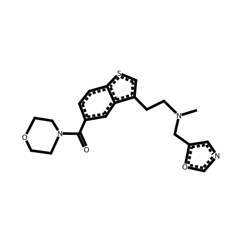 CN(CCc1csc2ccc(C(=O)N3CCOCC3)cc12)Cc1cnco1